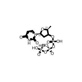 C[C@@H]1O[C@H](n2ccc(=O)[nH]c2=O)CC1OP(=O)(O)OP(=O)(O)OP(=O)(O)O